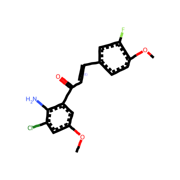 COc1cc(Cl)c(N)c(C(=O)/C=C/c2ccc(OC)c(F)c2)c1